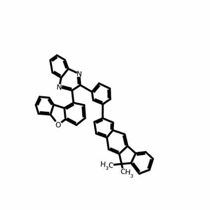 CC1(C)c2ccccc2-c2cc3cc(-c4cccc(-c5nc6ccccc6nc5-c5cccc6oc7ccccc7c56)c4)ccc3cc21